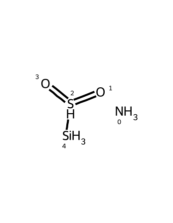 N.O=[SH](=O)[SiH3]